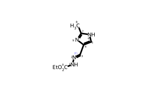 CCOC(=O)N/N=C/c1c[nH]c(C)n1